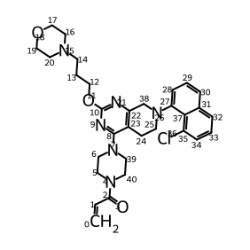 C=CC(=O)N1CCN(c2nc(OCCCN3CCOCC3)nc3c2CCN(c2cccc4cccc(Cl)c24)C3)CC1